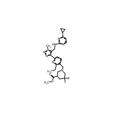 CCc1nc(-c2nnn(C)c2CNc2nccc(C3CC3)n2)ccc1CN1CC(C(=O)OC)CC(F)(F)C1